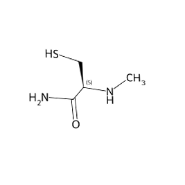 CN[C@H](CS)C(N)=O